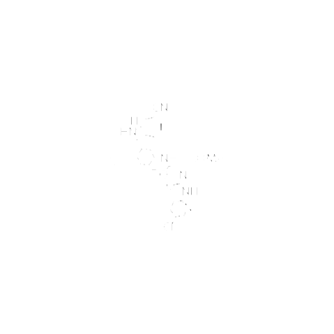 CO[C@@H]1C[C@H](C(=O)Nc2cc(C3(CCC4CC4)N[C@@H]4C=C(C#N)C=CC=C43)ccc2F)N(C(=O)Nc2ccc(Cl)cn2)C1